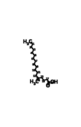 CCCCCCCCCCCCCC(C)CCCC(=O)O